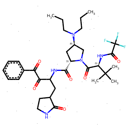 CCCN(CCC)[C@@H]1C[C@@H](C(=O)NC(CC2CCNC2=O)C(=O)C(=O)c2ccccc2)N(C(=O)[C@@H](NC(=O)C(F)(F)F)C(C)(C)C)C1